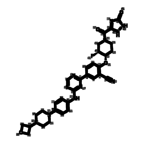 N#Cc1cc(-c2ncnc(Nc3ccc(N4CCN(C5COC5)CC4)cc3)n2)ccc1O[C@H]1CCN(C(=O)c2nc(=O)[nH][nH]2)C[C@H]1F